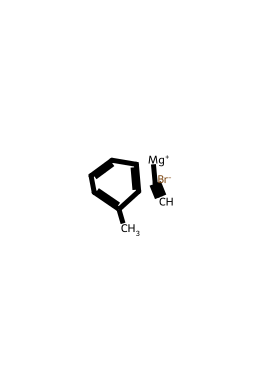 C#[C][Mg+].Cc1ccccc1.[Br-]